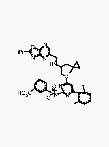 Cc1cccc(C)c1-c1cc(OCC(CC2(C)CC2)NCc2cnc3oc(C(C)C)nc3n2)nc(NS(=O)(=O)c2cccc(C(=O)O)c2)n1